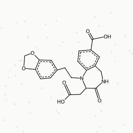 O=C(O)CC1C(=O)NCc2cc(C(=O)O)ccc2N1CCc1ccc2c(c1)OCO2